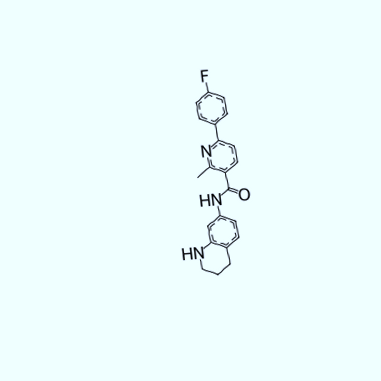 Cc1nc(-c2ccc(F)cc2)ccc1C(=O)Nc1ccc2c(c1)NCCC2